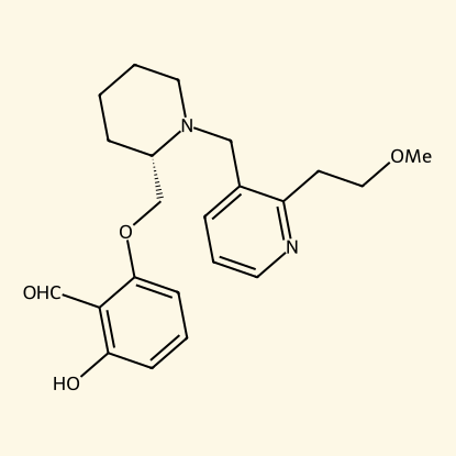 COCCc1ncccc1CN1CCCC[C@H]1COc1cccc(O)c1C=O